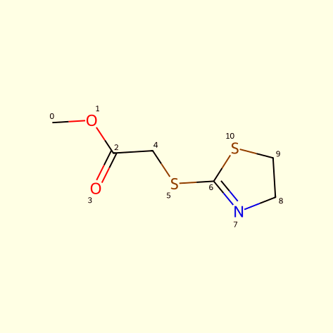 COC(=O)CSC1=NCCS1